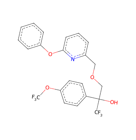 OC(COCc1cccc(Oc2ccccc2)n1)(c1ccc(OC(F)(F)F)cc1)C(F)(F)F